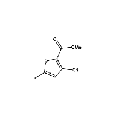 COC(=O)c1sc(C)cc1C#N